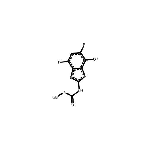 CC(C)(C)OC(=O)Nc1nc2c(O)c(F)cc(F)c2s1